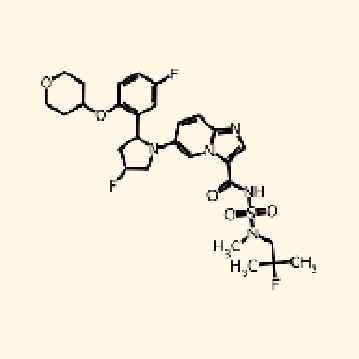 CN(CC(C)(C)F)S(=O)(=O)NC(=O)c1cnc2ccc(N3CC(F)CC3c3cc(F)ccc3OC3CCOCC3)cn12